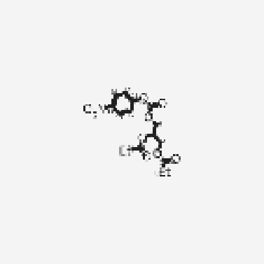 CCC(=O)OCC(COC(=O)Oc1ccc([N+](=O)[O-])cc1)OC(=O)CC